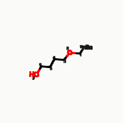 [CH2]CCCCOCCCCO